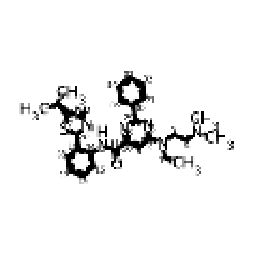 CCN(CCN(C)C)c1cc(C(=O)Nc2ccccc2C2N=NC(=C(C)C)S2)nc(-c2ccccc2)n1